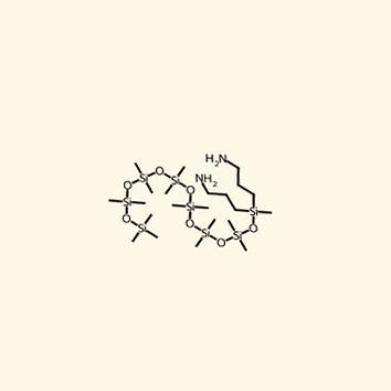 C[Si](C)(C)O[Si](C)(C)O[Si](C)(C)O[Si](C)(C)O[Si](C)(C)O[Si](C)(C)O[Si](C)(C)O[Si](C)(CCCN)CCCN